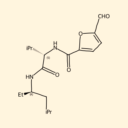 CC[C@H](CC(C)C)NC(=O)[C@@H](NC(=O)c1ccc(C=O)o1)C(C)C